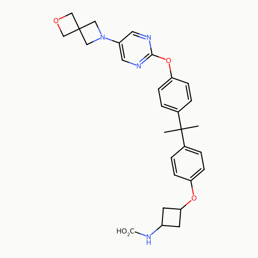 CC(C)(c1ccc(Oc2ncc(N3CC4(COC4)C3)cn2)cc1)c1ccc(OC2CC(NC(=O)O)C2)cc1